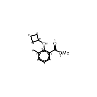 COC(=O)c1cccc(C)c1OC1CCC1